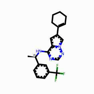 C[C@@H](Nc1ncnn2cc(C3=CCCCC3)cc12)c1cccc(C(F)(F)F)c1